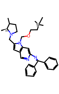 CC1CCN(Cc2cc3cnc(N=C(c4ccccc4)c4ccccc4)cc3n2COCC[Si](C)(C)C)[C@H]1C